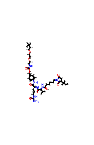 CCC(C)(C)C1CC(=O)N(CCCCCC(=O)NC(C(=O)N[C@H](CCCNC(N)=O)C(=O)Nc2ccc(COC(=O)NCCOCCOCCC(C)(C)C)cc2)C(C)C)C1=O